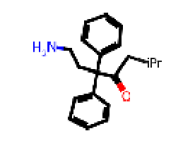 CC(C)CC(=O)C(CCN)(c1ccccc1)c1ccccc1